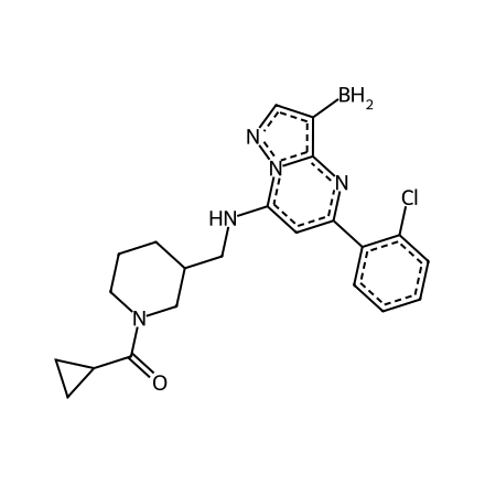 Bc1cnn2c(NCC3CCCN(C(=O)C4CC4)C3)cc(-c3ccccc3Cl)nc12